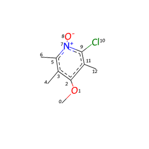 COc1c(C)c(C)[n+]([O-])c(Cl)c1C